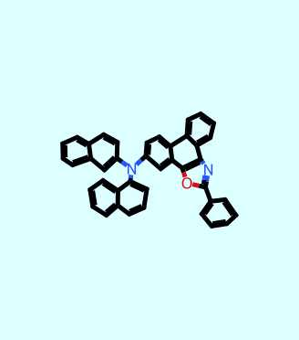 c1ccc(-c2nc3c4ccccc4c4ccc(N(c5ccc6ccccc6c5)c5cccc6ccccc56)cc4c3o2)cc1